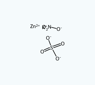 O=S(=O)([O-])[O-].O=[N+]([O-])[O-].[K+].[Zn+2]